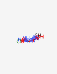 CCc1cnn2c(NCc3ccc(OCCCN4CCN(CC5CCN(c6ccc(C(N)=O)c(C7CCC(Oc8ccc(C#N)c(Cl)c8)CC7)n6)CC5)CC4)nc3)cc(N3CCCC[C@@H]3CCO)nc12